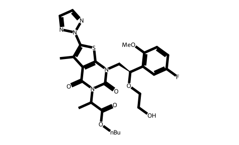 CCCCOC(=O)C(C)n1c(=O)c2c(C)c(-n3nccn3)sc2n(C[C@H](OCCO)c2cc(F)ccc2OC)c1=O